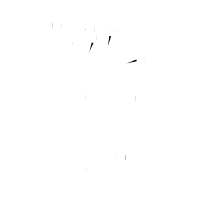 CC[C@@H](C)CC[C@H]1[C@@H](C)[C@H](O)[C@H](O)[C@H]2C(C)(C)CCC[C@]12C